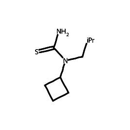 CC(C)CN(C(N)=S)C1CCC1